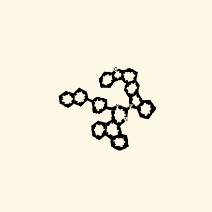 c1ccc2cc(-c3ccc(-c4nc(-n5c6ccccc6c6cc7ccc8oc9ccccc9c8c7cc65)nc5c6ccccc6c6ccccc6c45)cc3)ccc2c1